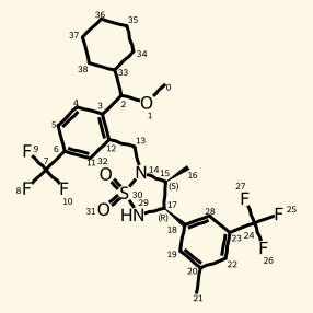 COC(c1ccc(C(F)(F)F)cc1CN1[C@@H](C)[C@@H](c2cc(C)cc(C(F)(F)F)c2)NS1(=O)=O)C1CCCCC1